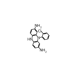 Nc1ccc2c(c1)N(c1ccccc1Cl)c1cc(N)ccc1N2